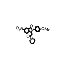 COc1ccc(N2C(=O)c3cc([N+](=O)[O-])ccc3C2CC(=O)N2CCCCC2)cc1